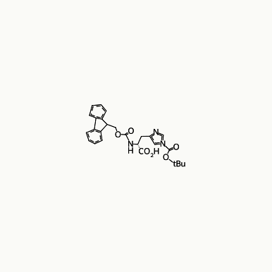 CC(C)(C)OC(=O)n1cnc(C[C@@H](NC(=O)OCC2c3ccccc3-c3ccccc32)C(=O)O)c1